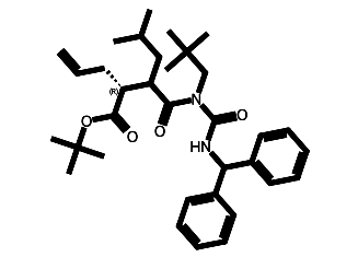 C=CC[C@@H](C(=O)OC(C)(C)C)C(CC(C)C)C(=O)N(CC(C)(C)C)C(=O)NC(c1ccccc1)c1ccccc1